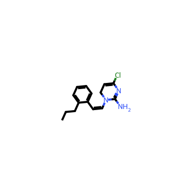 CCCc1ccccc1/C=C\N1CC=C(Cl)N=C1N